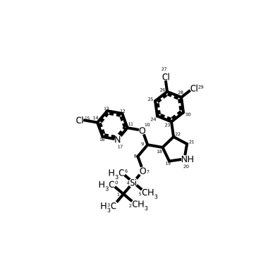 CC(C)(C)[Si](C)(C)OCC(Oc1ccc(Cl)cn1)C1CNCC1c1ccc(Cl)c(Cl)c1